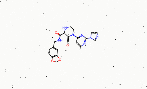 Cc1cc(N2CCNC(C(=O)NCc3ccc4c(c3)OCO4)C2=C=O)nc(-n2ccnc2)n1